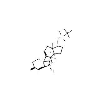 CC(C)(C)[Si](C)(C)O[C@H]1CC[C@H]2[C@@H]3C[C@H]4C[C@@]5(CCC(=O)C=C45)C3=CC[C@]12C